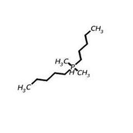 CCCCC[PH](C)(C)CCCCC